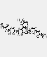 CNC(=O)CN1CCC(CN2CC[C@@H](C)CC2C2CN(C3CCN(CC(=O)NC)CC3)CC[C@@H]2C)CC1